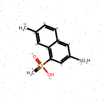 C=S(=O)(O)c1cc(S(=O)(=O)O)cc2ccc(C)cc12